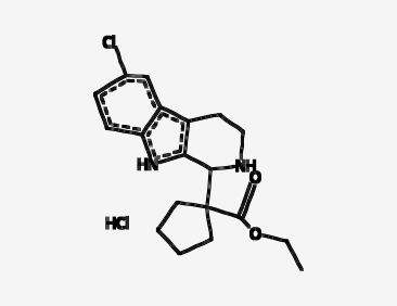 CCOC(=O)C1(C2NCCc3c2[nH]c2ccc(Cl)cc32)CCCC1.Cl